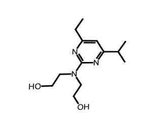 CCc1cc(C(C)C)nc(N(CCO)CCO)n1